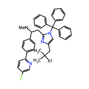 CCC(C)(C)Cc1cn(C(c2ccccc2)(c2ccccc2)c2ccccc2)c(CC(NC)c2ccc(-c3ccc(F)cn3)cc2)n1